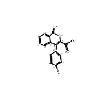 O=C(O)c1oc(=O)c2ncccc2c1-c1ccc(Cl)cc1